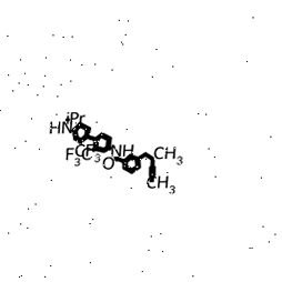 CC#CC(C)Cc1cccc(C(=O)Nc2ccc(-c3ccc(NC(C)C)cc3C(F)(F)F)c(C(F)(F)F)c2)c1